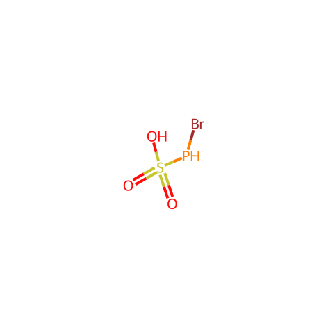 O=S(=O)(O)PBr